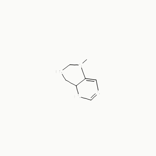 CN1CNCC2NC=NC=C21